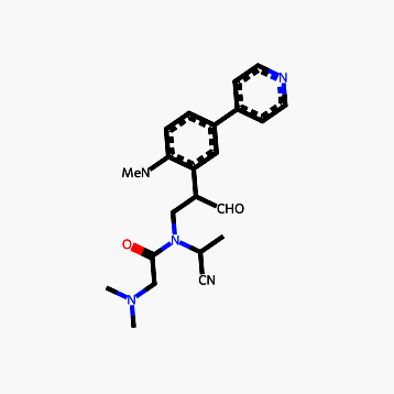 CNc1ccc(-c2ccncc2)cc1C(C=O)CN(C(=O)CN(C)C)C(C)C#N